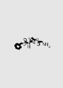 NCC(=O)Oc1csc(NC(=O)OCc2ccccc2)n1